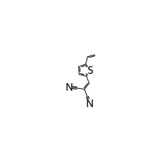 C=Cc1ccc(C=C(C#N)C#N)s1